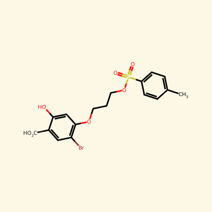 Cc1ccc(S(=O)(=O)OCCCOc2cc(O)c(C(=O)O)cc2Br)cc1